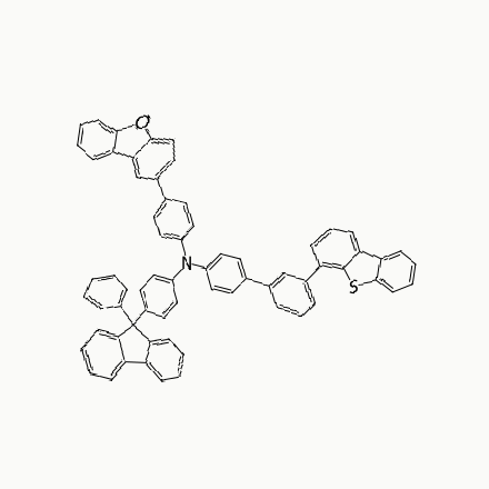 c1ccc(C2(c3ccc(N(c4ccc(-c5cccc(-c6cccc7c6sc6ccccc67)c5)cc4)c4ccc(-c5ccc6oc7ccccc7c6c5)cc4)cc3)c3ccccc3-c3ccccc32)cc1